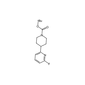 CC(C)(C)OC(=O)N1CCC(c2cccc(F)n2)CC1